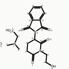 CN(C)CC(=O)O.Cl.O=C1CCC(N2C(=O)c3ccccc3C2=O)C(=O)N1CCO